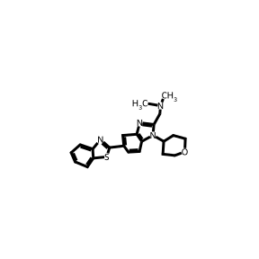 CN(C)Cc1nc2cc(-c3nc4ccccc4s3)ccc2n1C1CCOCC1